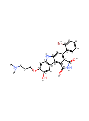 CN(C)CCCOc1cc2[nH]c3cc(-c4ccccc4Br)c4c(c3c2cc1O)C(=O)NC4=O